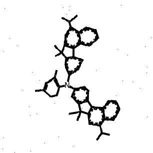 CC1=CC(C)=C(N(c2ccc3c(c2)C(C)(C)c2cc(C(C)C)c4ccccc4c2-3)c2ccc3c(c2)C(C)(C)c2cc(C(C)C)c4ccccc4c2-3)CC1